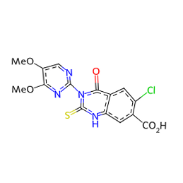 COc1cnc(-n2c(=S)[nH]c3cc(C(=O)O)c(Cl)cc3c2=O)nc1OC